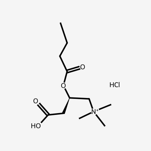 CCCC(=O)O[C@H](CC(=O)O)C[N+](C)(C)C.Cl